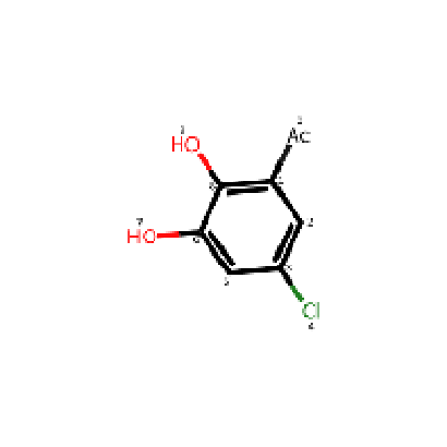 CC(=O)c1cc(Cl)cc(O)c1O